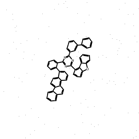 c1ccc(-c2cccc(-c3nc(-c4ccccc4-c4cccc5c4ccc4c6ccccc6ccc54)nc(-c4cccc5oc6ccccc6c45)n3)c2)cc1